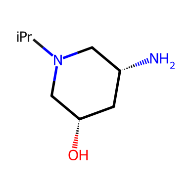 CC(C)N1C[C@H](N)C[C@H](O)C1